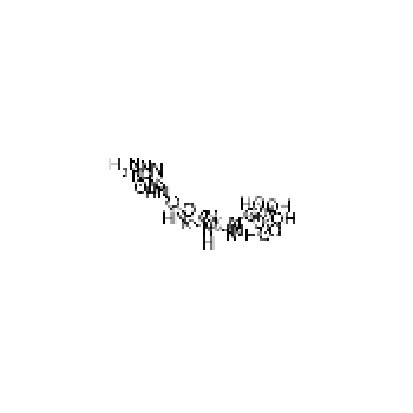 CC(=O)[C@H](Cc1cn(CCO[C@H]2OC(C(=O)O)C(O)[C@H](O)C2O)nn1)NC(=O)CC[C@@H](C)NC(=O)c1ccc(NCc2cnc3nc(N)nc(O)c3n2)cc1